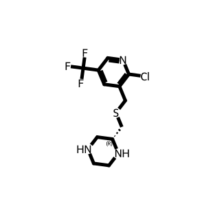 FC(F)(F)c1cnc(Cl)c(CSC[C@H]2CNCCN2)c1